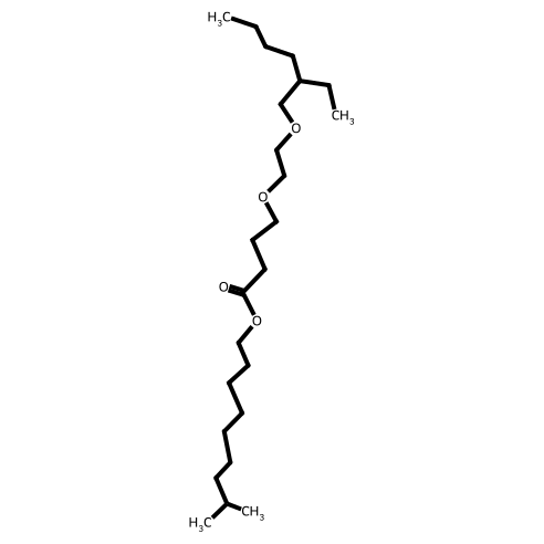 CCCCC(CC)COCCOCCCC(=O)OCCCCCCCC(C)C